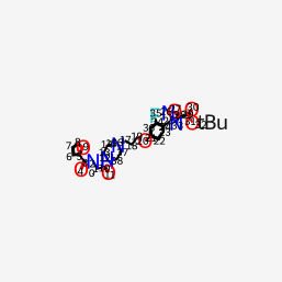 C[C@H](NC(=O)c1ccco1)C(=O)N1CCCN(CCCOc2ccc(-c3noc(C(=O)OC(C)(C)C)n3)c(F)c2)CC1